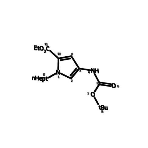 CCCCCCCn1cc(NC(=O)OC(C)(C)C)cc1C(=O)OCC